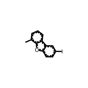 Cc1cccc2c1oc1ccc(I)cc12